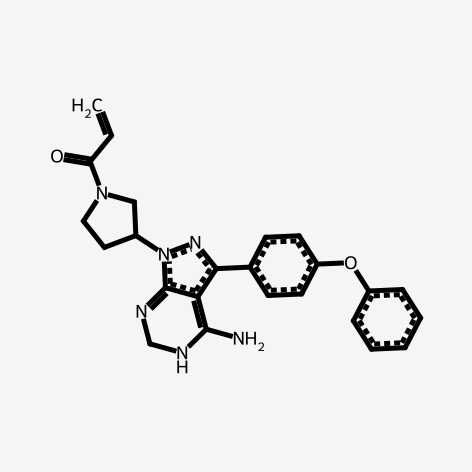 C=CC(=O)N1CCC(n2nc(-c3ccc(Oc4ccccc4)cc3)c3c2=NCNC=3N)C1